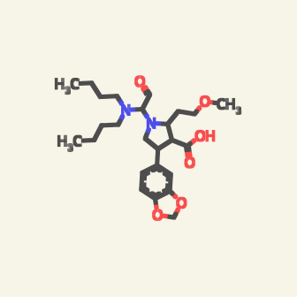 CCCCN(CCCC)C(C=O)N1CC(c2ccc3c(c2)OCO3)C(C(=O)O)C1CCOC